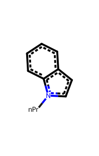 [CH2]CCn1ccc2ccccc21